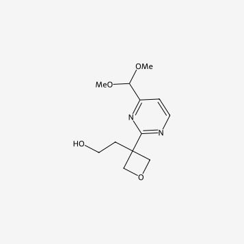 COC(OC)c1ccnc(C2(CCO)COC2)n1